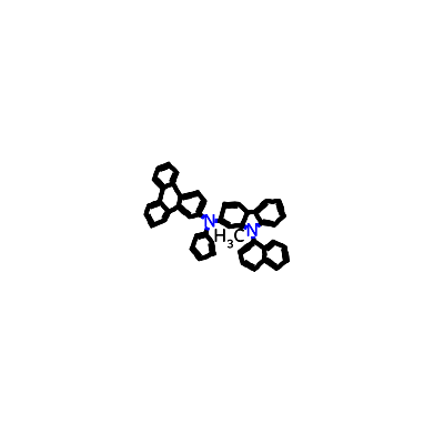 CC12C=C(N(c3ccccc3)c3ccc4c5ccccc5c5ccccc5c4c3)C=CC1c1ccccc1N2c1cccc2ccccc12